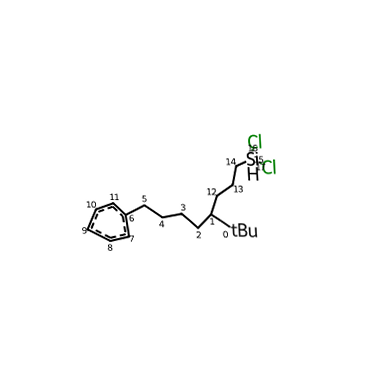 CC(C)(C)C(CCCCc1ccccc1)CCC[SiH](Cl)Cl